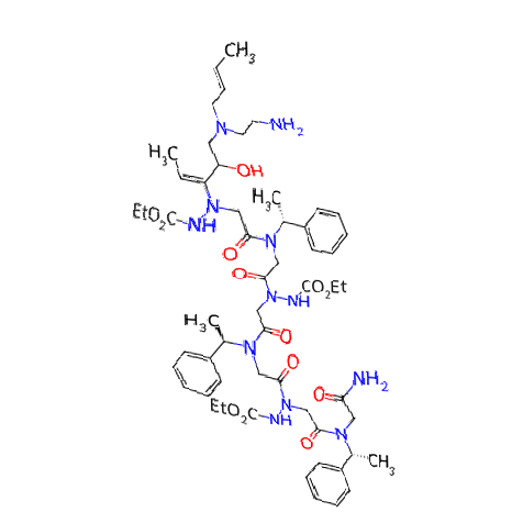 CC=C(C(O)CN(C/C=C/C)CCN)N(CC(=O)N(CC(=O)N(CC(=O)N(CC(=O)N(CC(=O)N(CC(N)=O)[C@H](C)c1ccccc1)NC(=O)OCC)[C@H](C)c1ccccc1)NC(=O)OCC)[C@H](C)c1ccccc1)NC(=O)OCC